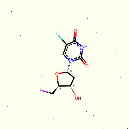 O=c1[nH]c(=O)n([C@@H]2C[C@H](O)[C@@H](CI)O2)cc1F